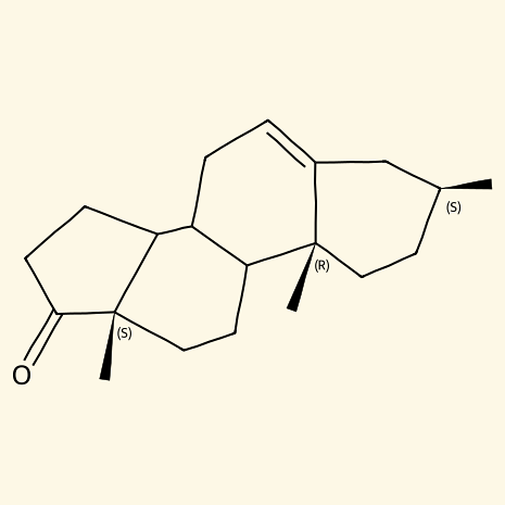 C[C@H]1CC[C@@]2(C)C(=CCC3C2CC[C@]2(C)C(=O)CCC32)C1